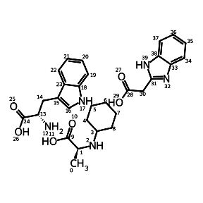 C[C@H](NC1CCCCC1)C(=O)O.N[C@@H](Cc1c[nH]c2ccccc12)C(=O)O.O=C(O)Cc1nc2ccccc2[nH]1